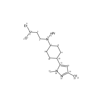 CCCN(CC[S+]([O-])CC)C1CCC(c2cc(C(F)(F)F)nn2C)CC1